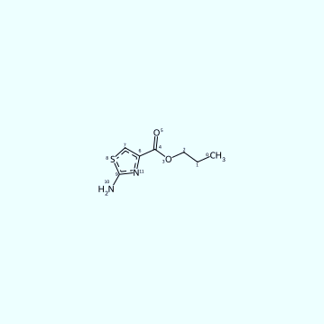 CCCOC(=O)c1csc(N)n1